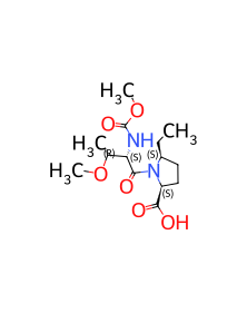 CC[C@H]1CC[C@@H](C(=O)O)N1C(=O)[C@@H](NC(=O)OC)[C@@H](C)OC